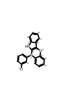 Clc1cccc(N2c3ccccc3Oc3c2[nH]c2ccccc32)c1